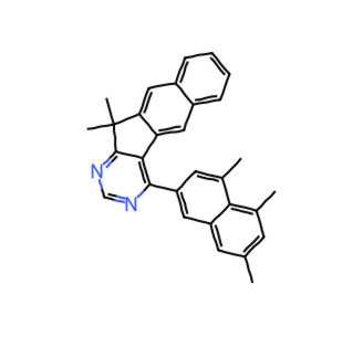 Cc1cc(C)c2c(C)cc(-c3ncnc4c3-c3cc5ccccc5cc3C4(C)C)cc2c1